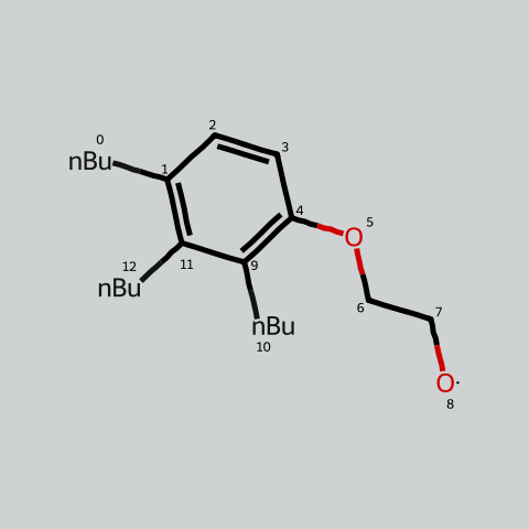 CCCCc1ccc(OCC[O])c(CCCC)c1CCCC